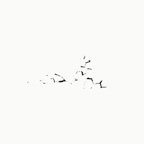 CCC(=O)N1CCC[C@H](n2c(=O)c(-c3ccoc3)c(C)c3cnc(Nc4ccc(N5CCN(C)CC5)c(C)c4)nc32)C1